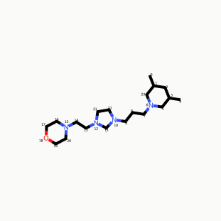 CC1CC(C)CN(CCCN2[C]N(CCN3CCOCC3)CC2)C1